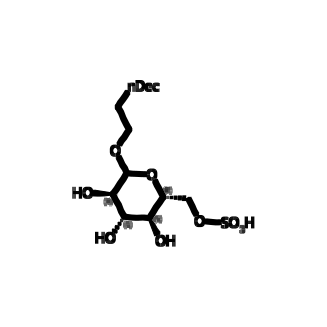 CCCCCCCCCCCCOC1O[C@H](COS(=O)(=O)O)[C@@H](O)[C@H](O)[C@H]1O